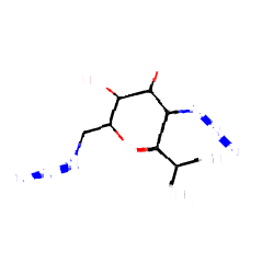 CC(C)C1OC(CN=[N+]=[N-])C(O)C(O)C1N=[N+]=[N-]